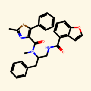 Cc1nc(C(=O)N(C)C(CNC(=O)c2cccc3occc23)Cc2ccccc2)c(-c2ccccc2)s1